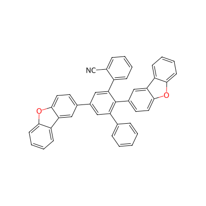 N#Cc1ccccc1-c1cc(-c2ccc3oc4ccccc4c3c2)cc(-c2ccccc2)c1-c1ccc2oc3ccccc3c2c1